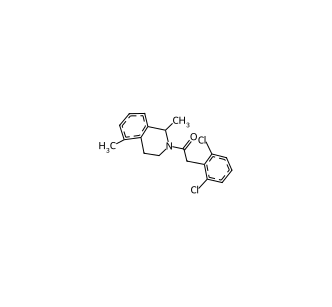 Cc1cccc2c1CCN(C(=O)Cc1c(Cl)cccc1Cl)C2C